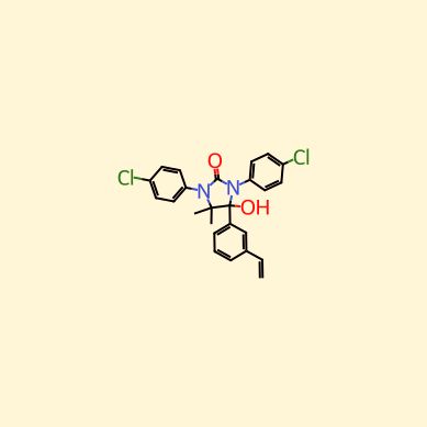 C=Cc1cccc(C2(O)N(c3ccc(Cl)cc3)C(=O)N(c3ccc(Cl)cc3)C2(C)C)c1